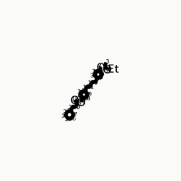 CCOC(C)Oc1ccc(C=CC=Cc2ccc(OC(=O)C=CC3CCCCC3)cc2)cc1